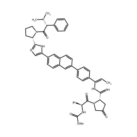 C/C=C(\NC(=N)[C@@H]1CC(=O)CN1C(=O)[C@@H](NC(=O)OC)C(C)C)c1ccc(-c2ccc3cc(-c4cnc([C@@H]5CCCN5C(=O)[C@@H](c5ccccc5)N(C)C)[nH]4)ccc3c2)cc1